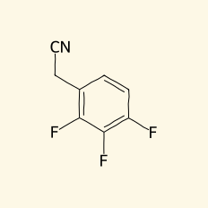 N#CCc1ccc(F)c(F)c1F